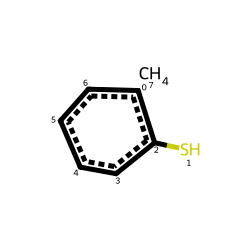 C.Sc1ccccc1